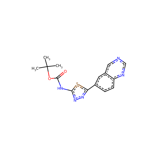 CC(C)(C)OC(=O)Nc1nnc(-c2ccc3ncncc3c2)s1